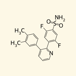 Cc1ccc(-c2cccnc2-c2cc(F)c(S(N)(=O)=O)cc2F)cc1C